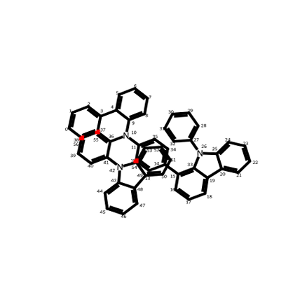 c1ccc(-c2ccccc2N(c2ccc(-c3cccc4c5ccccc5n(-c5ccccc5)c34)cc2)c2ccccc2-n2c3ccccc3c3ccccc32)cc1